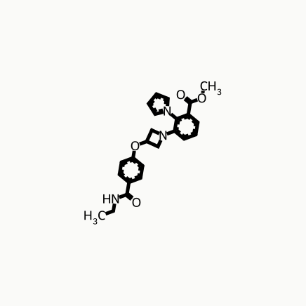 CCNC(=O)c1ccc(OC2CN(c3cccc(C(=O)OC)c3-n3cccc3)C2)cc1